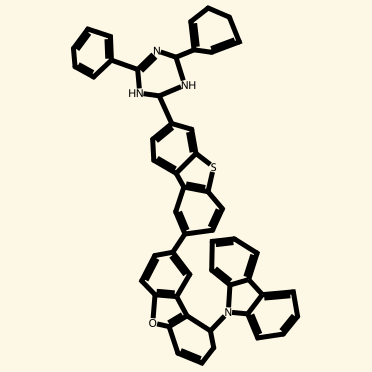 C1=CC(C2N=C(c3ccccc3)NC(c3ccc4c(c3)sc3ccc(-c5ccc6oc7c(c6c5)C(n5c6ccccc6c6ccccc65)CC=C7)cc34)N2)=CCC1